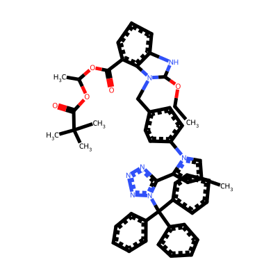 CCOC1Nc2cccc(C(=O)OC(C)OC(=O)C(C)(C)C)c2N1Cc1ccc(-n2cc(C)cc2-c2nnnn2C(c2ccccc2)(c2ccccc2)c2ccccc2)cc1